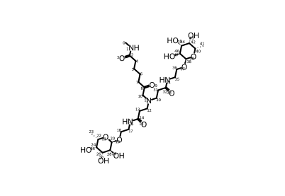 CNC(=O)CCCCC(=O)CN(CCC(=O)NCCO[C@@H]1O[C@@H](C)[C@@H](O)[C@@H](O)[C@@H]1O)CCC(=O)NCCO[C@@H]1O[C@@H](C)[C@@H](O)[C@@H](O)[C@@H]1O